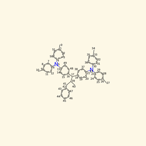 Cc1ccc(N(c2ccc(C)cc2)c2ccc(C(c3ccc(N(c4ccc(C)cc4)c4ccc(C)cc4)cc3)C(C)Cc3ccccc3)cc2)cc1